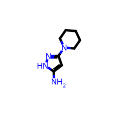 Nc1cc(N2CCCCC2)n[nH]1